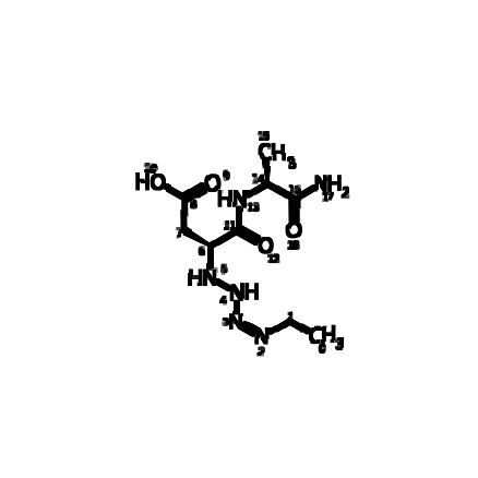 CC/N=N\NN[C@@H](CC(=O)O)C(=O)N[C@@H](C)C(N)=O